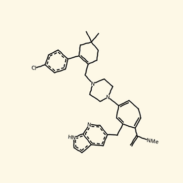 C=C(NC)C1=CCC=C(N2CCN(CC3=C(c4ccc(Cl)cc4)CC(C)(C)CC3)CC2)C=C1Cc1cnc2[nH]ccc2c1